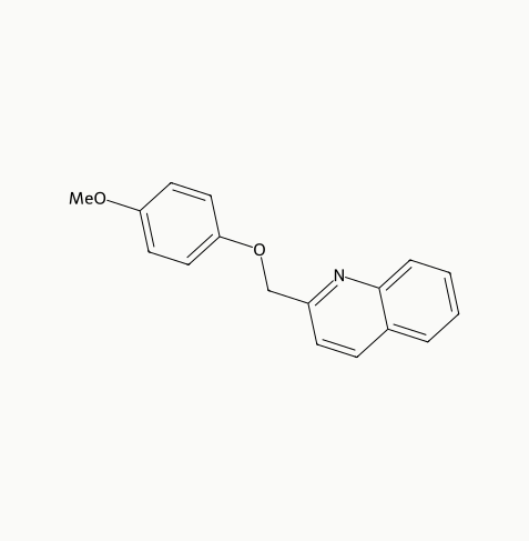 COc1ccc(OCc2ccc3ccccc3n2)cc1